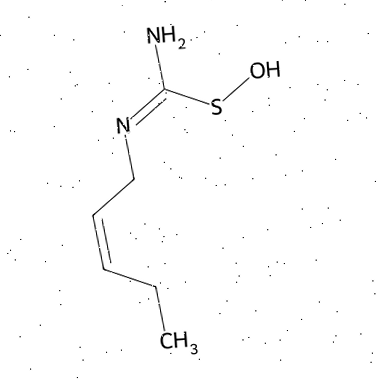 CC/C=C\C/N=C(/N)SO